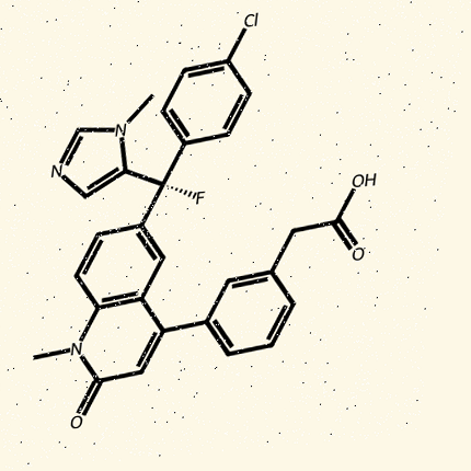 Cn1cncc1[C@@](F)(c1ccc(Cl)cc1)c1ccc2c(c1)c(-c1cccc(CC(=O)O)c1)cc(=O)n2C